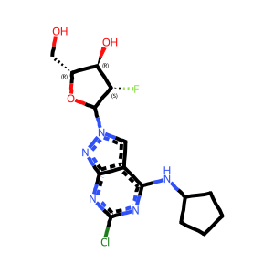 OC[C@H]1OC(n2cc3c(NC4CCCC4)nc(Cl)nc3n2)[C@@H](F)[C@@H]1O